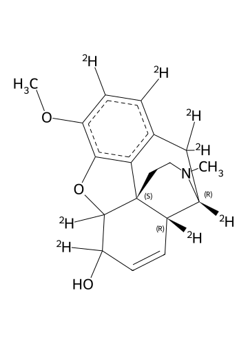 [2H]c1c([2H])c2c3c(c1OC)OC1([2H])C([2H])(O)C=C[C@]4([2H])[C@@]31CCN(C)[C@]4([2H])C2([2H])[2H]